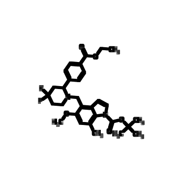 CCOC(=O)c1ccc(C2CC(F)(F)CCN2Cc2c(OC)cc(C)c3c2ccn3C(=O)OC(C)(C)C)cc1